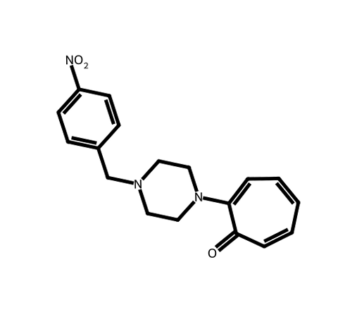 O=c1cccccc1N1CCN(Cc2ccc([N+](=O)[O-])cc2)CC1